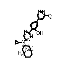 COc1cc(-c2ccc(-c3ncc(N(C4CC4)[C@H]4C[C@@H]5CCC[C@](C)(C4)N5)nn3)c(O)c2)cnn1